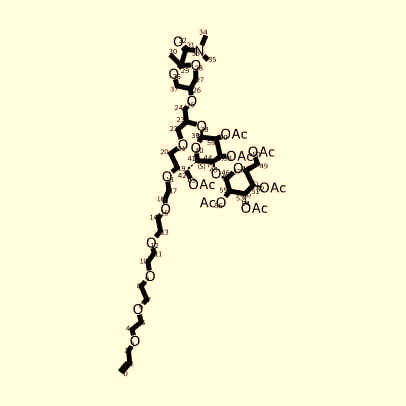 C=CCOCCOCCOCCOCCOCCOCCOCC(COC1COC(C)(C(=O)N(C)C)OC1)O[C@@H]1O[C@@H](COC(C)=O)[C@@H](O[C@@H]2OC(COC(C)=O)[C@H](OC(C)=O)[C@H](OC(C)=O)C2OC(C)=O)C(OC(C)=O)C1OC(C)=O